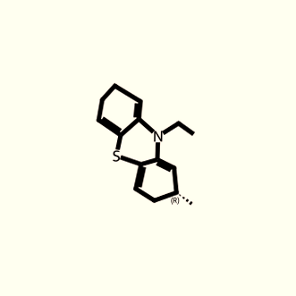 CCN1C2=CCCC=C2SC2=CC[C@@H](C)C=C21